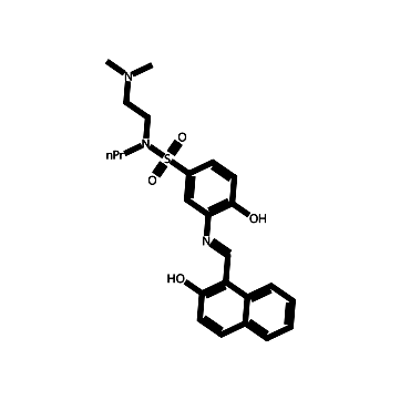 CCCN(CCN(C)C)S(=O)(=O)c1ccc(O)c(N=Cc2c(O)ccc3ccccc23)c1